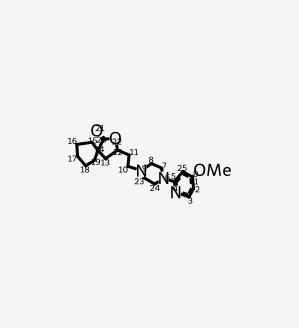 COc1ccnc(N2CCN(CCC3CC4(CCCCC4)C(=O)O3)CC2)c1